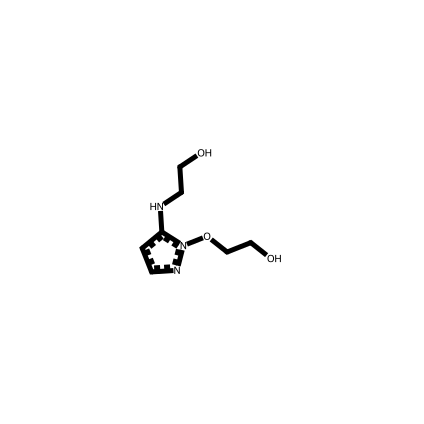 OCCNc1ccnn1OCCO